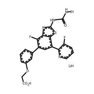 CCNC(=O)Nc1nc2c(F)c(-c3cccc(OCC(=O)O)c3)cc(-c3ncccc3F)c2s1.[LiH]